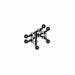 O=C(/C=C/c1ccccc1)OCCN(CCOC(=O)/C=C/c1ccccc1)c1nc(N(CCOC(=O)/C=C/c2ccccc2)CCOC(=O)/C=C/c2ccccc2)nc(N(CCOC(=O)/C=C/c2ccccc2)CCOC(=O)/C=C/c2ccccc2)n1